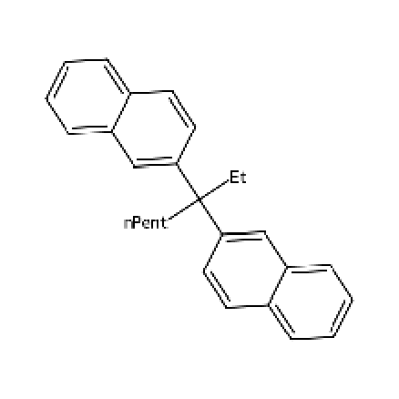 [CH2]CC(CCCCC)(c1ccc2ccccc2c1)c1ccc2ccccc2c1